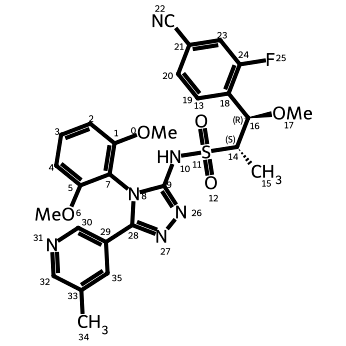 COc1cccc(OC)c1-n1c(NS(=O)(=O)[C@@H](C)[C@H](OC)c2ccc(C#N)cc2F)nnc1-c1cncc(C)c1